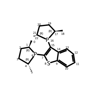 C[C@@H]1CC[C@@H](C)P1c1sc2ccccc2c1P1[C@H](C)CC[C@H]1C